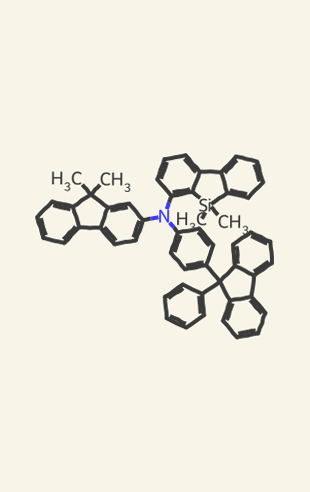 CC1(C)c2ccccc2-c2ccc(N(c3ccc(C4(c5ccccc5)c5ccccc5-c5ccccc54)cc3)c3cccc4c3[Si](C)(C)c3ccccc3-4)cc21